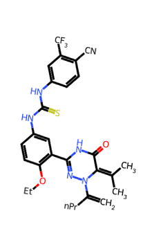 C=C(CCC)N1N=C(c2cc(NC(=S)Nc3ccc(C#N)c(C(F)(F)F)c3)ccc2OCC)NC(=O)C1=C(C)C